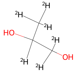 [2H]C([2H])([2H])C([2H])(O)C([2H])([2H])O